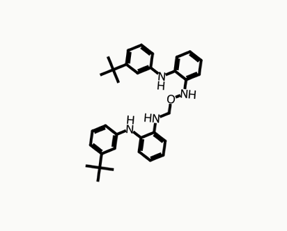 CC(C)(C)c1cccc(Nc2ccccc2NCONc2ccccc2Nc2cccc(C(C)(C)C)c2)c1